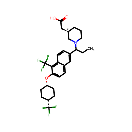 CCC(c1ccc2c(C(F)(F)F)c(O[C@H]3CC[C@@H](C(F)(F)F)CC3)ccc2c1)N1CCC[C@H](CC(=O)O)C1